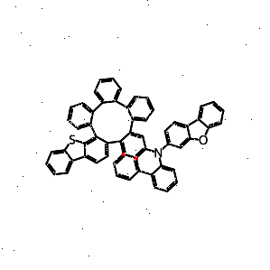 c1ccc(-c2ccccc2N(c2ccc3c(c2)oc2ccccc23)c2ccc3c(c2)c2ccccc2c2ccccc2c2ccccc2c2c3ccc3c4ccccc4sc32)cc1